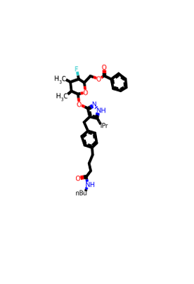 CCCCNC(=O)CCCc1ccc(Cc2c(OC3OC(COC(=O)c4ccccc4)C(F)C(C)C3C)n[nH]c2C(C)C)cc1